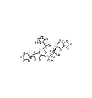 CC(CO)(CC(Cc1ccc(-c2ccccc2)cc1)NC(=O)c1cnn[nH]1)C(=O)Oc1ccc2c(c1)CCC2